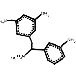 Cl.Nc1cccc(C(N)c2cc(N)cc(N)c2)c1